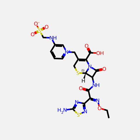 CCON=C(C(=O)NC1C(=O)N2C(C(=O)O)=C(C[n+]3cccc(NCS(=O)(=O)[O-])c3)CS[C@@H]12)c1nsc(N)n1